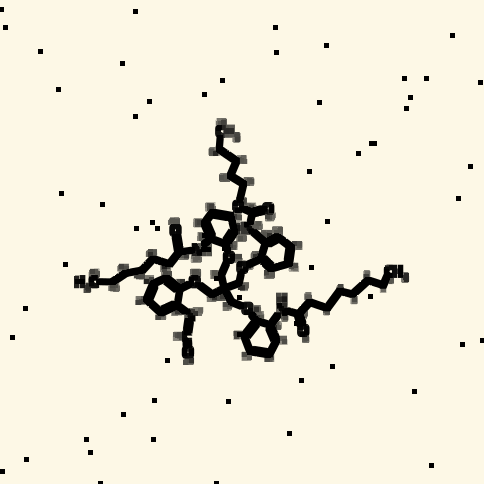 CCCCCCCC(=O)Nc1ccccc1OCC(COc1ccccc1N=C=O)(COc1ccccc1NC(=O)CCCCCC)COc1ccccc1NC(=O)OCCCCC